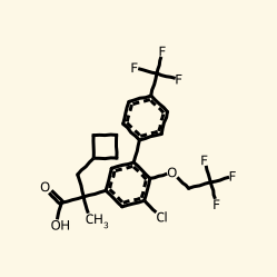 CC(CC1CCC1)(C(=O)O)c1cc(Cl)c(OCC(F)(F)F)c(-c2ccc(C(F)(F)F)cc2)c1